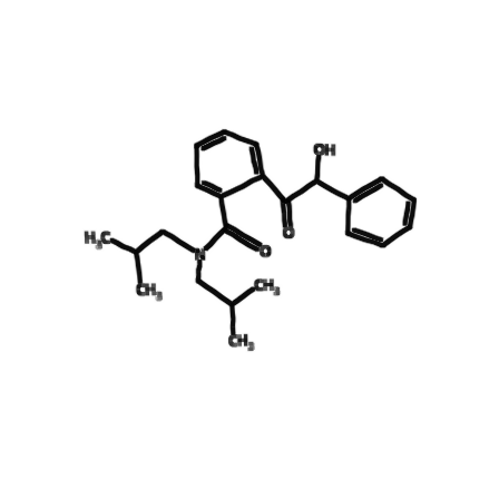 CC(C)CN(CC(C)C)C(=O)c1ccccc1C(=O)C(O)c1ccccc1